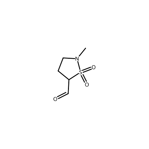 CN1CCC(C=O)S1(=O)=O